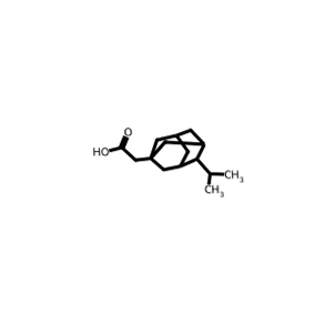 CC(C)C1C2CC3CC1CC(CC(=O)O)(C3)C2